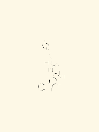 O=C(NCCCn1ccnc1)Nc1n[nH]c2c(F)c(F)c(-c3ccccc3)cc12